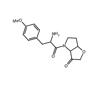 COc1ccc(CC(N)C(=O)N2CCC3OCC(=O)C32)cc1